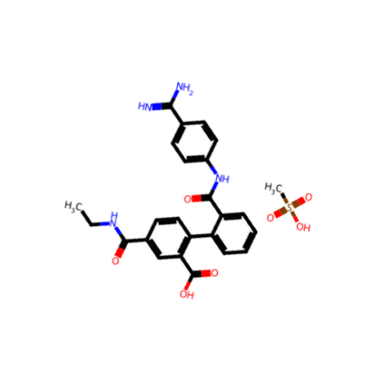 CCNC(=O)c1ccc(-c2ccccc2C(=O)Nc2ccc(C(=N)N)cc2)c(C(=O)O)c1.CS(=O)(=O)O